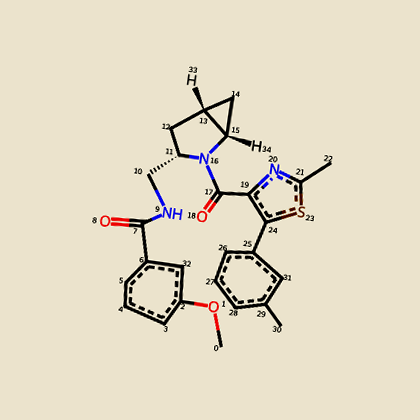 COc1cccc(C(=O)NC[C@@H]2C[C@@H]3C[C@@H]3N2C(=O)c2nc(C)sc2-c2cccc(C)c2)c1